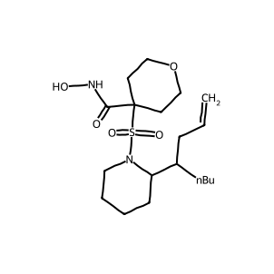 C=CCC(CCCC)C1CCCCN1S(=O)(=O)C1(C(=O)NO)CCOCC1